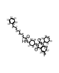 O=C(CSCCSCCc1ccccc1)N[C@H]1CC[C@@H](n2c(=O)c3cc(F)cnc3n(C3CCSCC3)c2=O)CC1